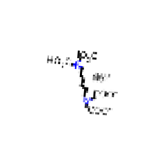 O=C([O-])CN(CCCCCCN(CC(=O)O)CC(=O)O)CC(=O)[O-].[Na+].[Na+]